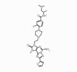 CC(CN(C)C)NC(=O)c1ccc(N2CCN(CCn3c(=O)n(C)c4c3nc(N)n3nc(-c5ccco5)nc43)CC2)c(F)c1